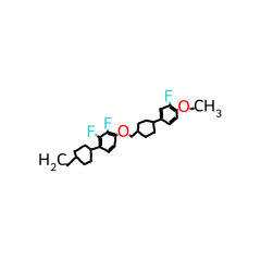 C=CC1CCC(c2ccc(OCC3CCC(c4ccc(OCC)c(F)c4)CC3)c(F)c2F)CC1